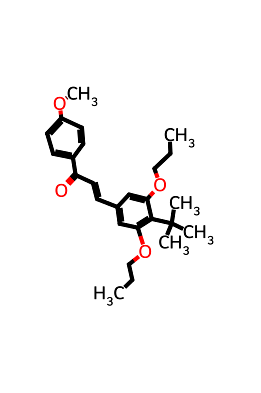 CCCOc1cc(C=CC(=O)c2ccc(OC)cc2)cc(OCCC)c1C(C)(C)C